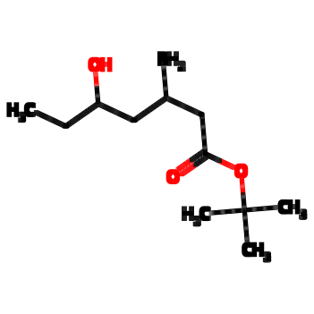 BC(CC(=O)OC(C)(C)C)CC(O)CC